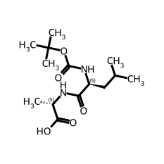 CC(C)C[C@H](NC(=O)OC(C)(C)C)C(=O)N[C@@H](C)C(=O)O